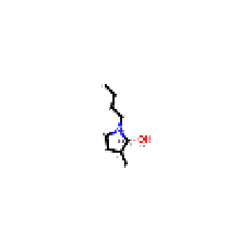 CCCCN1CCC(C)[C@H]1O